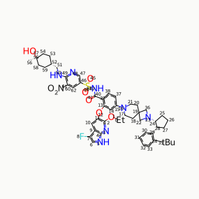 CCOc1nc2[nH]cc(F)c2cc1Oc1cc(N2CCC3(CC2)CN([C@@H]2CCC[C@@H]2c2ccccc2C(C)(C)C)C3)ccc1C(=O)NS(=O)(=O)c1cnc(NC[C@H]2CC[C@](C)(O)CC2)c([N+](=O)[O-])c1